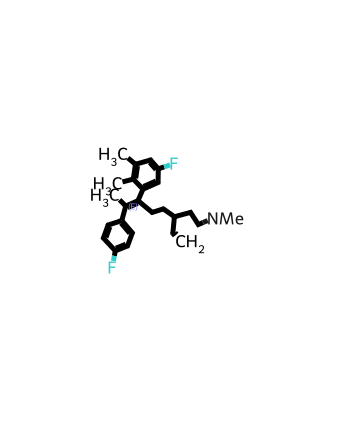 C=CC(CCNC)CC/C(=C(/C)c1ccc(F)cc1)c1cc(F)cc(C)c1C